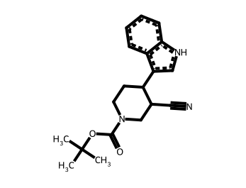 CC(C)(C)OC(=O)N1CCC(c2c[nH]c3ccccc23)C(C#N)C1